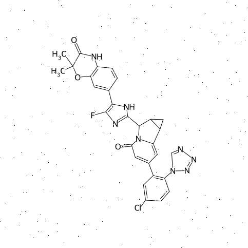 CC1(C)Oc2cc(-c3[nH]c(C4C5CC5c5cc(-c6cc(Cl)ccc6-n6cnnn6)cc(=O)n54)nc3F)ccc2NC1=O